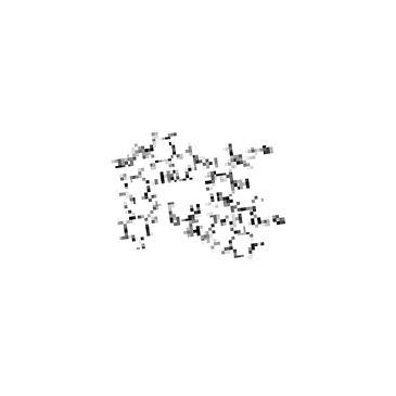 C[C@@H](OC(C)(C)C)[C@H](NC(=O)[C@H](Cc1ccccc1)NC(=O)OCC1c2ccccc2-c2ccccc21)C(=O)N[C@H](C(=O)N[C@@H](Cc1ccc(OC(C)(C)C)cc1)C(=O)O)[C@@H](C)OC(C)(C)C